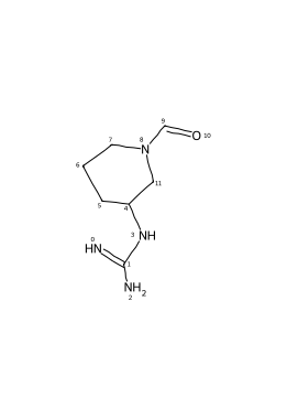 N=C(N)NC1CCCN(C=O)C1